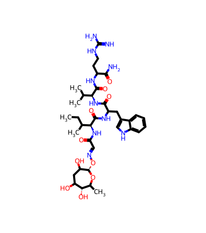 CCC(C)[C@H](NC(=O)/C=N/O[C@@H]1OC(C)[C@H](O)C(O)CC1O)C(=O)NC(Cc1c[nH]c2ccccc12)C(=O)N[C@H](C(=O)NC(CCNC(=N)N)C(N)=O)C(C)C